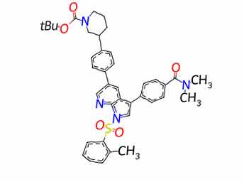 Cc1ccccc1S(=O)(=O)n1cc(-c2ccc(C(=O)N(C)C)cc2)c2cc(-c3ccc(C4CCCN(C(=O)OC(C)(C)C)C4)cc3)cnc21